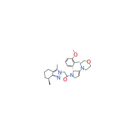 COc1cccc([C@@H]2C(N3CCOCC3)=CCN2C(=O)Cn2nc3c(c2C)CCC[C@@H]3C)c1C